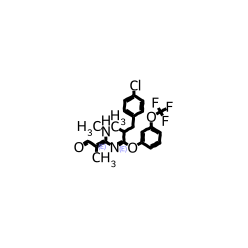 CNC(/N=C(/Oc1cccc(OC(F)(F)F)c1)C(C)Cc1ccc(Cl)cc1)=C(/C)C=O